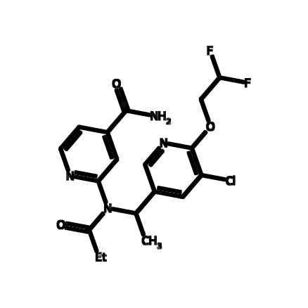 CCC(=O)N(c1cc(C(N)=O)ccn1)C(C)c1cnc(OCC(F)F)c(Cl)c1